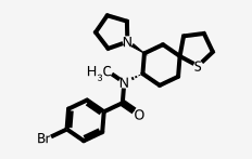 CN(C(=O)c1ccc(Br)cc1)[C@H]1CCC2(CCCS2)C[C@@H]1N1CCCC1